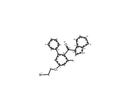 Cc1cc(OCCBr)cc(-c2ccccc2)c1C(=O)c1csc2ccccc12